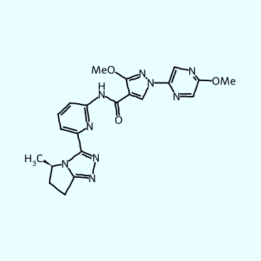 COc1cnc(-n2cc(C(=O)Nc3cccc(-c4nnc5n4[C@H](C)CC5)n3)c(OC)n2)cn1